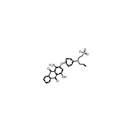 C=CCN(CCS(=O)(=O)F)c1ccc(Oc2cc(O)c3c(c2N)C(=O)c2ccccc2C3=O)cc1